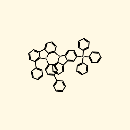 c1ccc(-c2ccc(-n3c4c(-c5ccccc5)cccc4c4cccc(-n5c6ccccc6c6cc([Si](c7ccccc7)(c7ccccc7)c7ccccc7)ccc65)c43)cc2)cc1